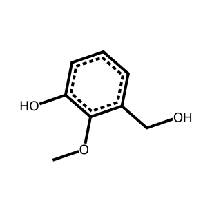 COc1c(O)cccc1CO